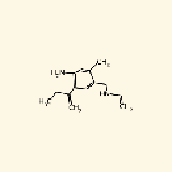 C=CNCc1cc(C(=C)CC)c(N)cc1C